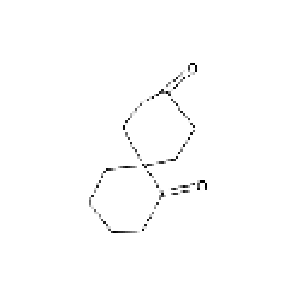 O=C1CCC2(CCCCC2=O)CC1